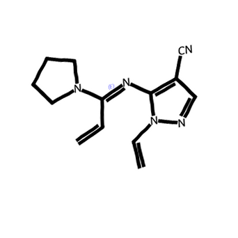 C=C/C(=N\c1c(C#N)cnn1C=C)N1CCCC1